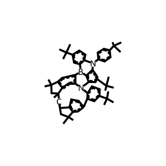 CC(C)(C)c1ccc(N2c3ccc(C(C)(C)C)cc3B3c4cc5c6cc4N(c4ccc(C(C)(C)C)cc4-c4ccc7c(c4)C(C)(C)CC7(C)CC6(C)CC5(C)C)c4cc(C(C)(C)C)cc2c43)cc1